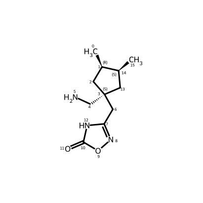 C[C@@H]1C[C@](CN)(Cc2noc(=O)[nH]2)C[C@@H]1C